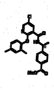 COC(=O)c1ccc([C@H](C)NC(=O)c2cc(Cl)cnc2Oc2ccc(C)cc2C)cc1